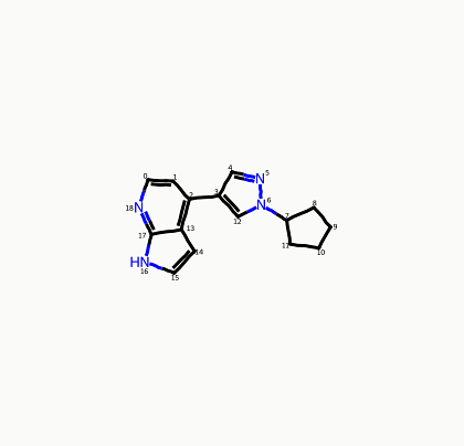 c1cc(-c2cnn(C3CCCC3)c2)c2cc[nH]c2n1